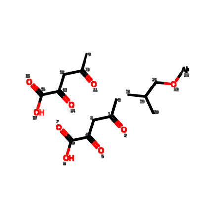 CC(=O)CC(=O)C(=O)O.CC(=O)CC(=O)C(=O)O.CC(C)C[O][Al]